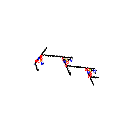 CCCCCC/C=C\COC(=O)CN(CC(=O)OC(CCCCCCC)CCCCCCCCCCCCCCCCC(CCCCCCCC)OC(=O)CN(CC(=O)OC(CCCCCCCC)CCCCCCCCCCCCCCCC(CCCCCCC)OC(=O)CN(CC(=O)OC(CCCCCCC)CCCCCCC)C(=O)SCCCN(CC)CC)C(=O)SCCCN(C)C)C(=O)SCCN(C)C